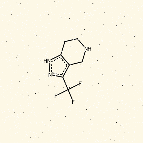 FC(F)(F)c1n[nH]c2c1CNCC2